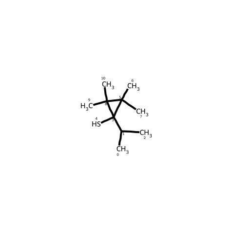 CC(C)C1(S)C(C)(C)C1(C)C